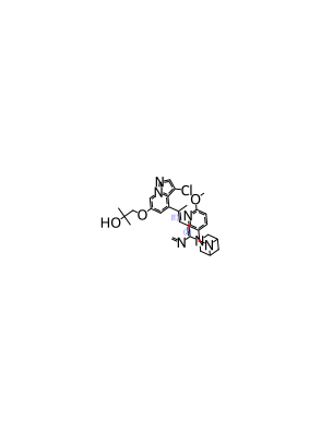 C=N/C(=C\C=C(/C)c1cc(OCC(C)(C)O)cn2ncc(Cl)c12)N1CC2CC(C1)N2Cc1ccc(OC)nc1